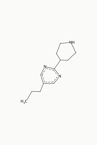 CCCc1cnc(C2CCNCC2)nc1